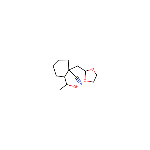 CC(O)C1CCCCC1(C#N)CC1OCCO1